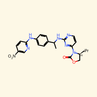 CC(Nc1nccc(N2C(=O)OC[C@@H]2C(C)C)n1)c1ccc(Nc2ccc([N+](=O)[O-])cn2)cc1